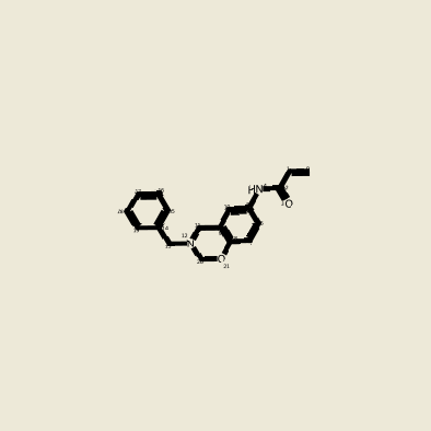 C=CC(=O)Nc1ccc2c(c1)CN(Cc1ccccc1)CO2